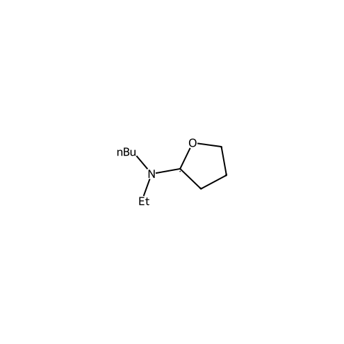 CCCCN(CC)[C]1CCCO1